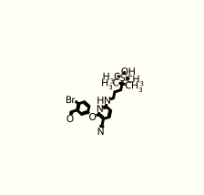 CC(C)(CCCNc1ccc(C#N)c(Oc2ccc(Br)c(C=O)c2)n1)[Si](C)(C)O